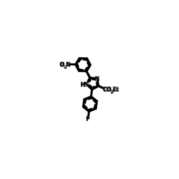 CCOC(=O)c1nc(-c2cccc([N+](=O)[O-])c2)[nH]c1-c1ccc(F)cc1